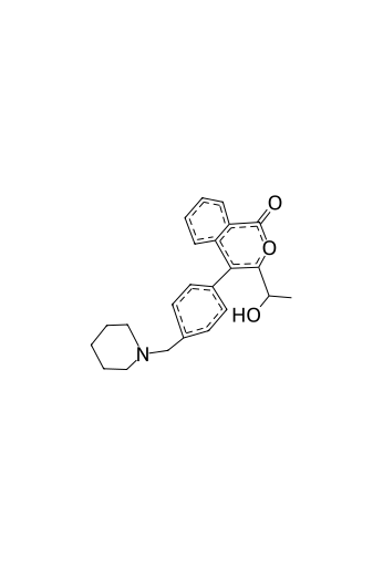 CC(O)c1oc(=O)c2ccccc2c1-c1ccc(CN2CCCCC2)cc1